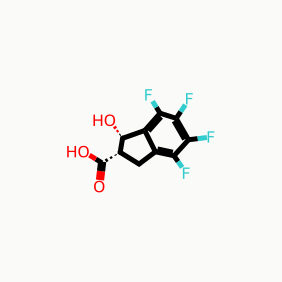 O=C(O)[C@H]1Cc2c(F)c(F)c(F)c(F)c2[C@H]1O